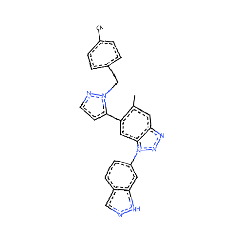 Cc1cc2nnn(-c3ccc4cn[nH]c4c3)c2cc1-c1ccnn1Cc1ccc(C#N)cc1